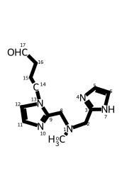 CN(Cc1ncc[nH]1)Cc1nccn1CCCC=O